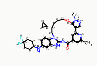 Cc1cc2cc(n1)-c1cnn(C)c1OCCC[C@@H](C1CC1)CN1/C(=N/C2=O)Nc2cc(NC3CCC(F)(F)CC3)ccc21